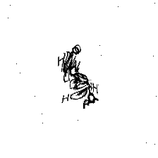 Cc1cc(F)cc([C@@H](CO)NC(=O)[C@@H](C)N2Cc3cnc(-c4nc(NC5CCOCC5)ncc4Cl)cc3C2=O)c1